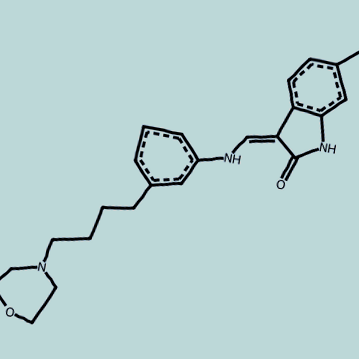 O=C1Nc2cc(F)ccc2C1=CNc1cccc(CCCCN2CCOCC2)c1